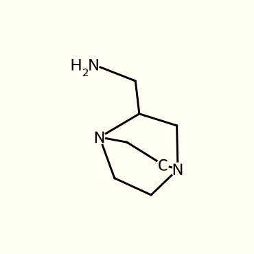 NCC1CN2CCN1CC2